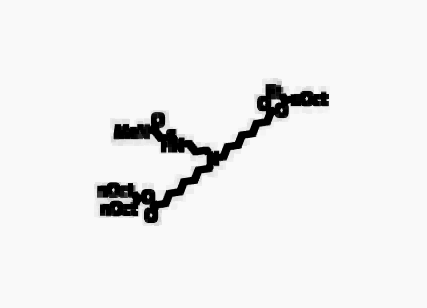 CCCCCCCCC(CC)OC(=O)CCCCCCCN(CCCCCCCC(=O)OC(CCCCCCCC)CCCCCCCC)CCCNSCC(=O)NC